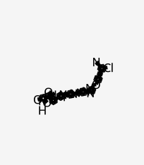 Cn1c(=O)n(C2CCC(=O)NC2=O)c2cccc(C3CCN(CC4(F)CCN(C5CC6(CCN(c7nccc(COc8ccc(C(C)(C)c9cc(Cl)cc(C#N)c9)cc8)n7)CC6)C5)CC4)CC3)c21